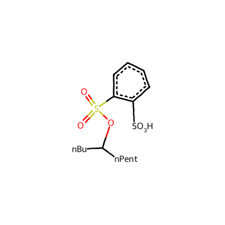 CCCCCC(CCCC)OS(=O)(=O)c1ccccc1S(=O)(=O)O